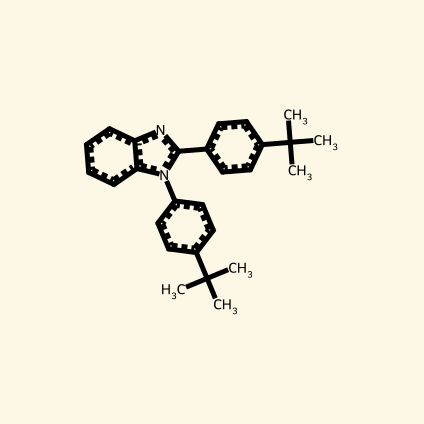 CC(C)(C)c1ccc(-c2nc3ccccc3n2-c2ccc(C(C)(C)C)cc2)cc1